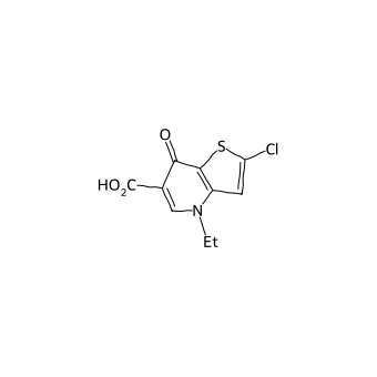 CCn1cc(C(=O)O)c(=O)c2sc(Cl)cc21